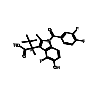 Cc1c([C@](C)(C(=O)O)C(C)(C)C)c2c(F)c(O)ccc2n1C(=O)c1ccc(F)c(F)c1